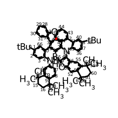 CC(C)(C)c1ccc(Nc2ccc3c(c2)C(C)(C)CCC3(C)C)c(-c2c3c(cc4oc5ccccc5c24)N(c2ccc(C(C)(C)C)cc2-c2ccccc2)c2c(oc4cc5c(cc24)C(C)(C)CCC5(C)C)B3)c1